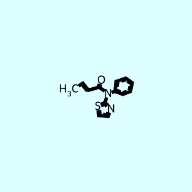 CC=CC(=O)N(c1ccccc1)c1nccs1